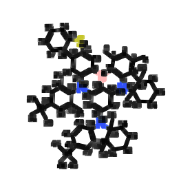 Cc1cc(C)c2c3c1B1c4cc5sc6ccccc6c5cc4N(c4c(C)cc(C(C)(C)C)cc4C)c4cc(N5c6ccc(C(C)(C)C)cc6C6(C)CCCCC56C)cc(c41)N3C1(C)CCCCC21C